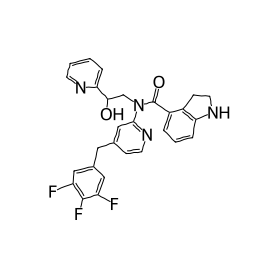 O=C(c1cccc2c1CCN2)N(CC(O)c1ccccn1)c1cc(Cc2cc(F)c(F)c(F)c2)ccn1